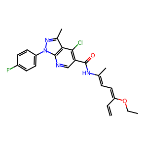 C=C/C(=C\C=C(/C)NC(=O)c1cnc2c(c(C)nn2-c2ccc(F)cc2)c1Cl)OCC